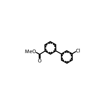 COC(=O)c1cccc(-c2cccc(Cl)c2)c1